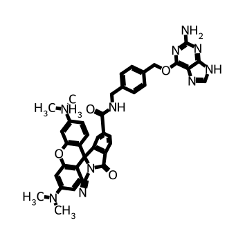 CN(C)c1ccc2c(c1)Oc1cc(N(C)C)ccc1C21c2cc(C(=O)NCc3ccc(COc4nc(N)nc5[nH]cnc45)cc3)ccc2C(=O)N1C#N